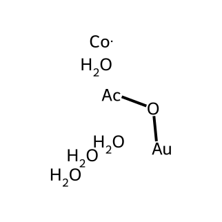 CC(=O)[O][Au].O.O.O.O.[Co]